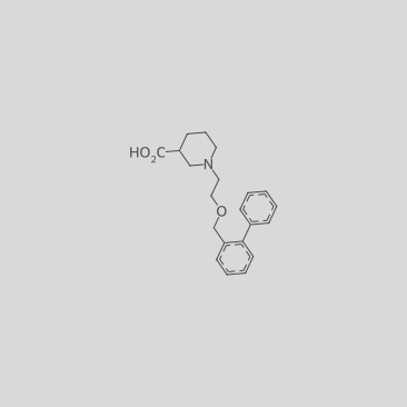 O=C(O)C1CCCN(CCOCc2ccccc2-c2ccccc2)C1